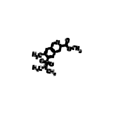 COC(=O)C1Cc2cc(S(=O)(=O)N(C)C)c(C)cc2CO1